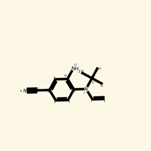 C=CN(c1ccc(C#N)cc1N)C(C)(C)C